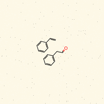 C=Cc1ccccc1.O=CCc1ccccc1